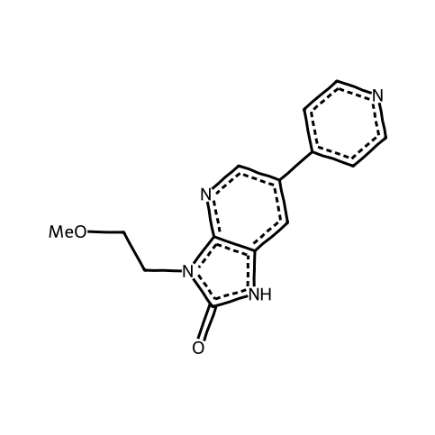 COCCn1c(=O)[nH]c2cc(-c3ccncc3)cnc21